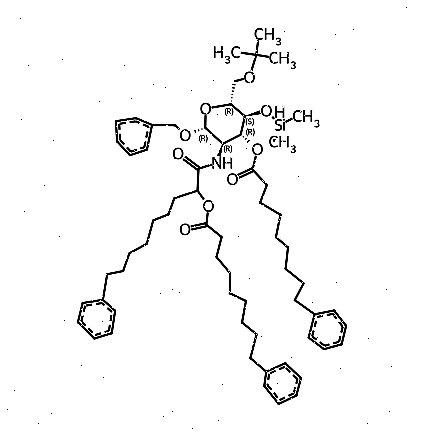 C[SiH](C)O[C@H]1[C@H](OC(=O)CCCCCCCCc2ccccc2)[C@@H](NC(=O)C(CCCCCCCc2ccccc2)OC(=O)CCCCCCCCc2ccccc2)[C@H](OCc2ccccc2)O[C@@H]1COC(C)(C)C